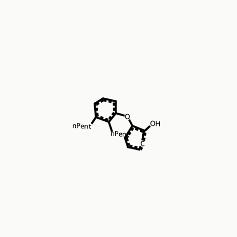 CCCCCc1cccc(Oc2ccccc2O)c1CCCCC